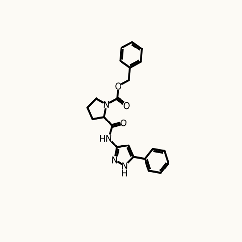 O=C(Nc1cc(-c2ccccc2)[nH]n1)C1CCCN1C(=O)OCc1ccccc1